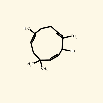 CC1=CCC(C)(C)C=CC(O)C(C)=CCC1